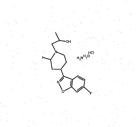 CC(O)CN1CCC(c2noc3cc(F)ccc23)CC1I.Cl.N.O